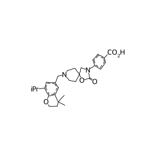 CC(C)c1cc(CN2CCC3(CC2)CN(c2ccc(C(=O)O)cc2)C(=O)O3)cc2c1OCCC2(C)C